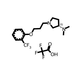 CN(C)[C@H]1CCN(CCCOc2c[c]ccc2C(F)(F)F)C1.O=C(O)C(F)(F)F